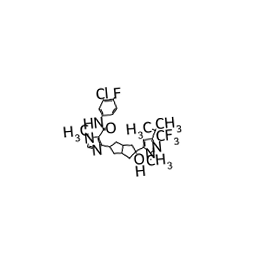 Cn1cnc(C2CC3CC(O)(c4cc(C(C)(C)C(F)(F)F)nn4C)CC3C2)c1C(=O)Nc1ccc(F)c(Cl)c1